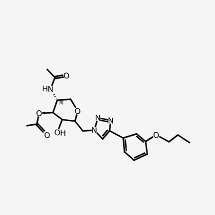 CCCOc1cccc(-c2cn(CC3OC[C@@H](NC(C)=O)C(OC(C)=O)C3O)nn2)c1